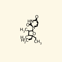 C=CC1(CC)OC(n2ccc(=O)[nH]c2=O)C(C)C1C